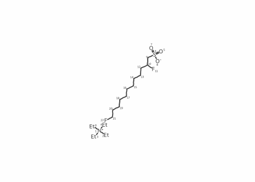 CC[N+](CC)(CC)CC.O=S(=O)([O-])CC(F)CCCCCCCCCCF